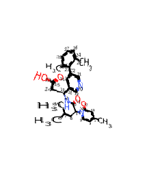 Cc1ccn([C@@H](CC(C)C)C(=O)N[C@@H](CC(=O)O)c2cncc(-c3c(C)cccc3C)c2)c(=O)c1